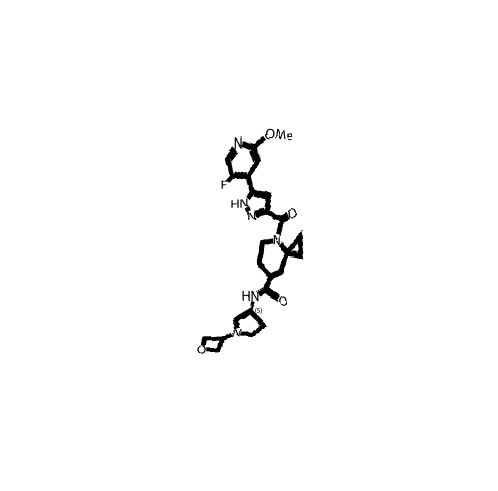 COc1cc(-c2cc(C(=O)N3CCC(C(=O)N[C@H]4CCN(C5COC5)C4)CC34CC4)n[nH]2)c(F)cn1